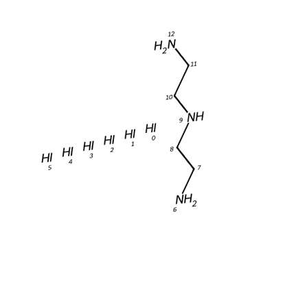 I.I.I.I.I.I.NCCNCCN